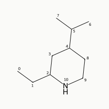 CCC1CC(C(C)C)CCN1